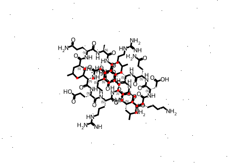 CC[C@H](C)[C@H](NC(=O)[C@H](CCCNC(=N)N)NC(=O)[C@H](C)NC(=O)[C@H](CCC(N)=O)NC(=O)[C@@H](N)CC(C)C)C(=O)N[C@@H](CC(C)C)C(=O)N[C@@H](C)C(=O)N[C@H](C(=O)N[C@@H](CCC(=O)O)C(=O)N[C@@H](CCCNC(=N)N)C(=O)N[C@@H](Cc1ccc(O)cc1)C(=O)N[C@@H](CC(C)C)C(=O)N[C@@H](CCCCN)C(=O)N[C@@H](CC(=O)O)C(=O)N[C@@H](CCC(N)=O)C(=O)N[C@@H](CCC(N)=O)C(=O)N[C@@H](CCC(N)=O)C(N)=O)C(C)C